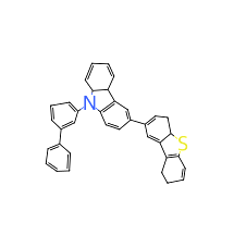 C1=CC2c3cc(C4=CCC5SC6=C(CCC=C6)C5=C4)ccc3N(c3cccc(-c4ccccc4)c3)C2C=C1